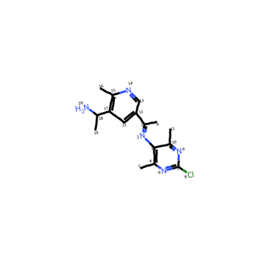 C/C(=N\c1c(C)nc(Cl)nc1C)c1cnc(C)c(C(C)N)c1